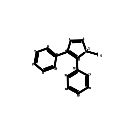 In1ccc(-c2ccccc2)c1-c1ccccc1